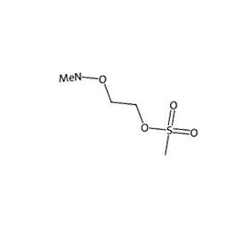 CNOCCOS(C)(=O)=O